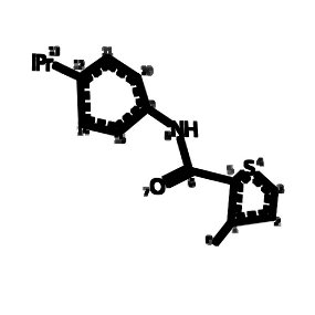 Cc1ccsc1C(=O)Nc1ccc(C(C)C)cc1